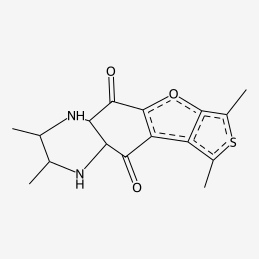 Cc1sc(C)c2c3c(oc12)C(=O)C1NC(C)C(C)NC1C3=O